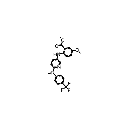 COC(=O)c1cc(OC)ccc1Nc1ccc(N(C)c2ccc(C(F)(F)F)cc2)nc1